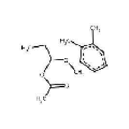 CCC(OC)OC(C)=O.Cc1ccccc1C